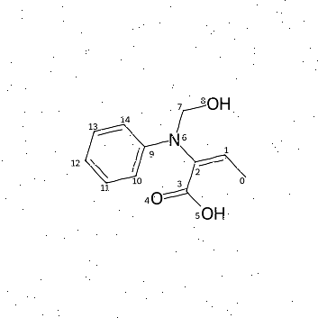 CC=C(C(=O)O)N(CO)c1ccccc1